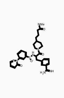 CNC(=O)CCCC1CCN(C(=O)C(Cc2cccc(C(=N)N)c2)N[S+]([O-])c2cccc(-n3ncccc3=O)c2)CC1